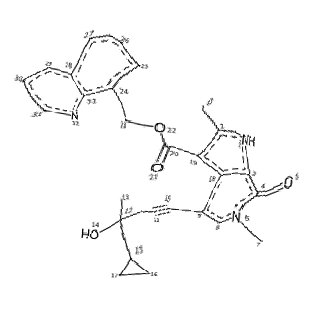 Cc1[nH]c2c(=O)n(C)cc(C#CC(C)(O)C3CC3)c2c1C(=O)OCc1cccc2cccnc12